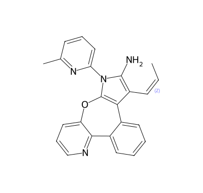 C/C=C\c1c2c(n(-c3cccc(C)n3)c1N)Oc1cccnc1-c1ccccc1-2